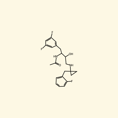 CC(=O)NC(Cc1cc(F)cc(F)c1)C(O)CNC1(Cc2ccccc2F)CC1